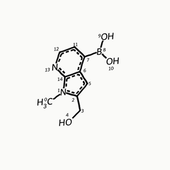 Cn1c(CO)cc2c(B(O)O)ccnc21